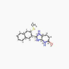 CSc1cc2ccccc2cc1-c1nc2[nH]c(=O)ccc2[nH]1